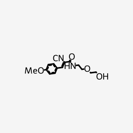 [C-]#[N+]/C(=C\c1ccc(OC)cc1)C(=O)NCCOCCO